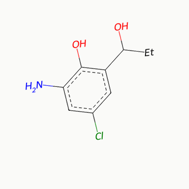 CCC(O)c1cc(Cl)cc(N)c1O